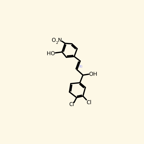 O=[N+]([O-])c1ccc(/C=C/C(O)c2ccc(Cl)c(Cl)c2)cc1O